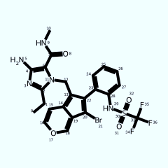 CCc1nc(N)c(C(=O)NC)n1Cc1c2ccocc-2c(Br)c1-c1ccccc1NS(=O)(=O)C(F)(F)F